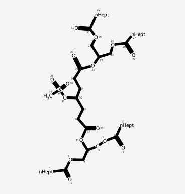 CCCCCCCC(=O)OCC(COC(=O)CCCCCCC)OC(=O)CCC(CCC(=O)OC(COC(=O)CCCCCCC)COC(=O)CCCCCCC)OS(C)(=O)=O